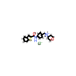 C[N+](C)(Cc1ccc(NC(=O)c2cc3ccccc3s2)cc1)C1CCOCC1.[Cl-]